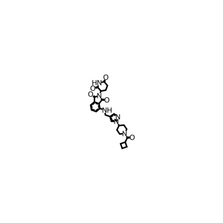 O=C1CCC(N2C(=O)c3cccc(NCc4cnn(C5CCN(C(=O)C6CCC6)CC5)c4)c3C2=O)C(=O)N1